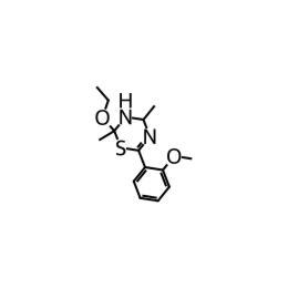 CCOC1(C)NC(C)N=C(c2ccccc2OC)S1